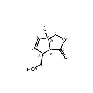 O=C1OC[C@H]2C=C[C@H](CO)N12